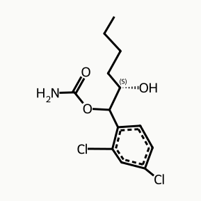 CCCC[C@H](O)C(OC(N)=O)c1ccc(Cl)cc1Cl